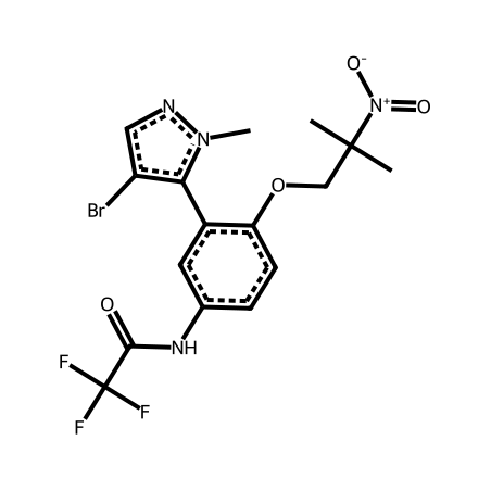 Cn1ncc(Br)c1-c1cc(NC(=O)C(F)(F)F)ccc1OCC(C)(C)[N+](=O)[O-]